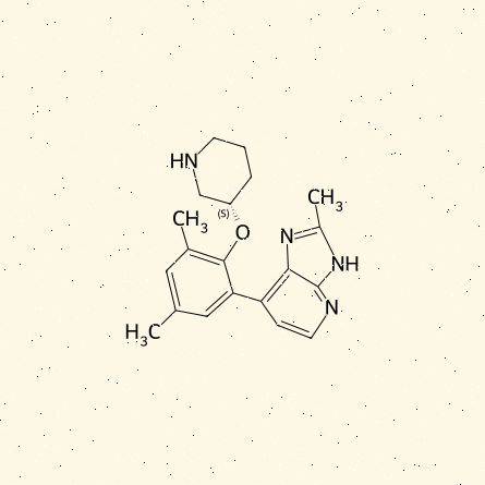 Cc1cc(C)c(O[C@H]2CCCNC2)c(-c2ccnc3[nH]c(C)nc23)c1